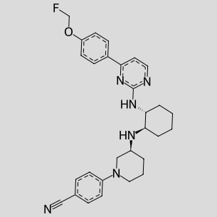 N#Cc1ccc(N2CCC[C@H](N[C@@H]3CCCC[C@H]3Nc3nccc(-c4ccc(OCF)cc4)n3)C2)cc1